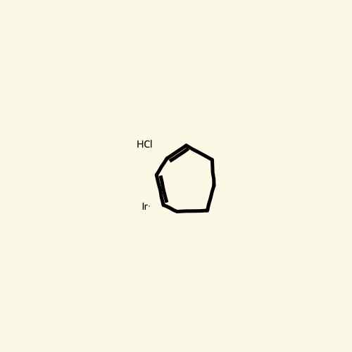 C1=C\CCCC\C=C/1.Cl.[Ir]